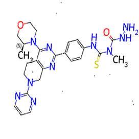 C[C@H]1COCCN1c1nc(-c2ccc(NC(=S)N(C)C(=O)NN)cc2)nc2c1CCN(c1ncccn1)C2